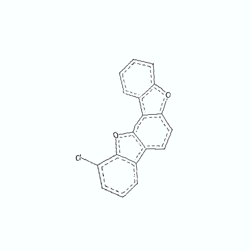 Clc1cccc2c1oc1c2ccc2oc3ccccc3c21